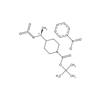 C[C@H](N=S(=O)=O)C1CCN(C(=O)OC(C)(C)C)CC1.O=[N+]([O-])c1ccccc1